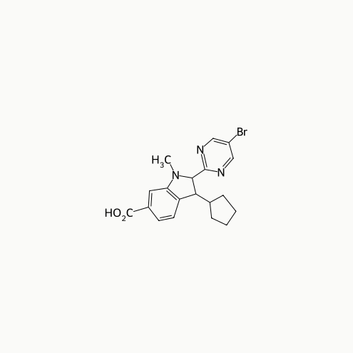 CN1c2cc(C(=O)O)ccc2C(C2CCCC2)C1c1ncc(Br)cn1